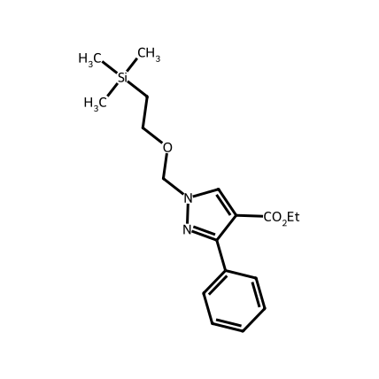 CCOC(=O)c1cn(COCC[Si](C)(C)C)nc1-c1ccccc1